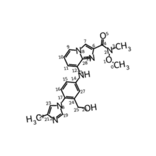 CON(C)C(=O)c1cn2cccc(Nc3ccc(-n4cnc(C)c4)c(CO)c3)c2n1